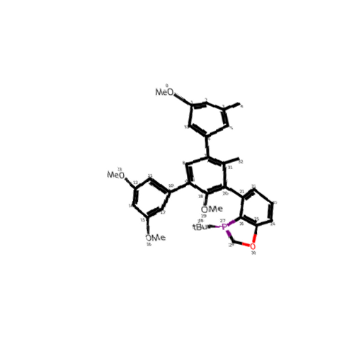 COc1cc(C)cc(-c2cc(-c3cc(OC)cc(OC)c3)c(OC)c(-c3cccc4c3[P@](C(C)(C)C)CO4)c2C)c1